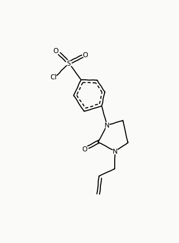 C=CCN1CCN(c2ccc(S(=O)(=O)Cl)cc2)C1=O